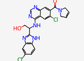 O=C(c1cc2ncnc(NC(CO)c3nc4cc(Cl)ccc4[nH]3)c2cc1Cl)N1CC=CC1